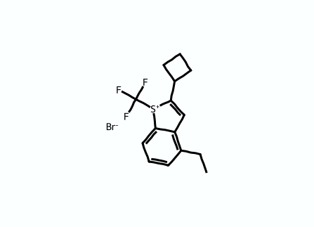 CCc1cccc2c1cc(C1CCC1)[s+]2C(F)(F)F.[Br-]